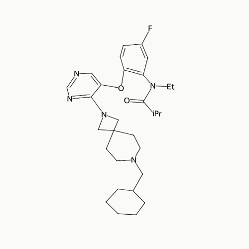 CCN(C(=O)C(C)C)c1cc(F)ccc1Oc1cncnc1N1CC2(CCN(CC3CCCCC3)CC2)C1